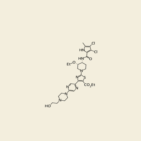 CCOC(=O)c1sc(N2CC[C@@H](NC(=O)c3[nH]c(C)c(Cl)c3Cl)[C@@H](OCC)C2)nc1-c1cnc(N2CCN(CCO)CC2)cn1